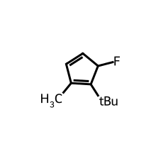 CC1=C(C(C)(C)C)C(F)C=C1